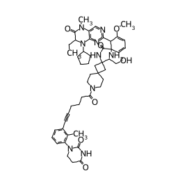 CCC1C(=O)N(C)c2cnc(C3C(OC)=CC=CC3(N)C(=O)NC3(CCO)CC4(CCN(C(=O)CCCC#Cc5cccc(N6CCC(=O)NC6=O)c5C)CC4)C3)nc2N1C1CCCC1